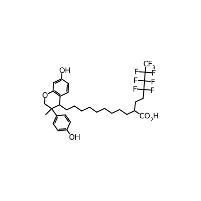 CC1(c2ccc(O)cc2)COc2cc(O)ccc2C1CCCCCCCCCC(CCC(F)(F)C(F)(F)C(F)(F)C(F)(F)F)C(=O)O